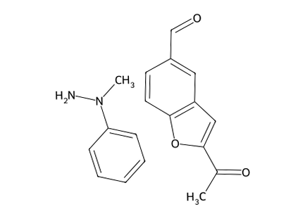 CC(=O)c1cc2cc(C=O)ccc2o1.CN(N)c1ccccc1